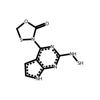 O=C1OCSN1c1nc(NS)nc2[nH]ccc12